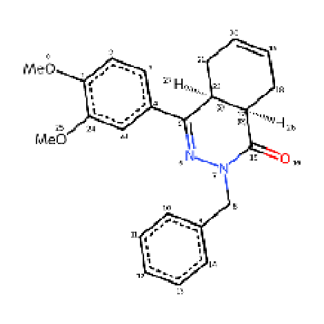 COc1ccc(C2=NN(Cc3ccccc3)C(=O)[C@@H]3CC=CC[C@H]23)cc1OC